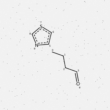 CCCC=O.c1cscn1